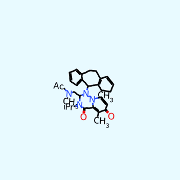 CC(=O)N(C)CC1N(C(C)C)C(=O)c2c(C)c(=O)ccn2N1C1C2=C(C=CCC2C)CCc2ccccc21